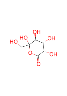 O=C1OC(O)(CO)[C@@H](O)[C@H](O)[C@@H]1O